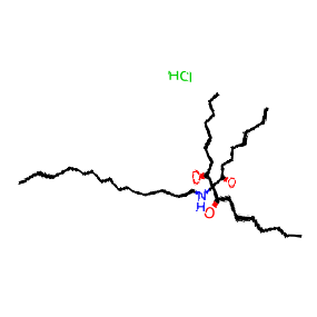 CCCCCCCCCCCCC=CNC(C(=O)CCCCCCC)(C(=O)CCCCCCC)C(=O)CCCCCCC.Cl